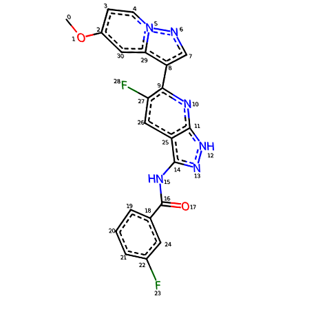 COc1ccn2ncc(-c3nc4[nH]nc(NC(=O)c5cccc(F)c5)c4cc3F)c2c1